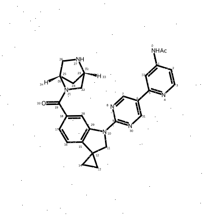 CC(=O)Nc1ccnc(-c2cnc(N3CC4(CC4)c4ccc(C(=O)N5C[C@@H]6C[C@H]5CN6)cc43)nc2)c1